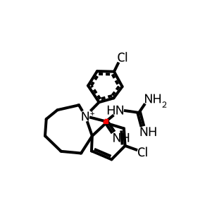 N=C(N)NC(=N)[N+]1(c2ccc(Cl)cc2)CCCCCCC12C=CC(Cl)=CC2